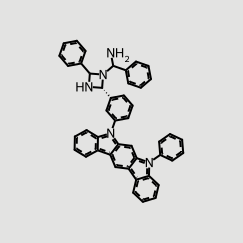 NC(c1ccccc1)N1C(c2ccccc2)N[C@H]1c1cccc(-n2c3ccccc3c3cc4c5ccccc5n(-c5ccccc5)c4cc32)c1